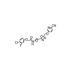 N#Cc1ccc(OCc2nnc(C34CC(NC(=O)COc5ccc(Cl)c(F)c5)(C3)C4)o2)cn1